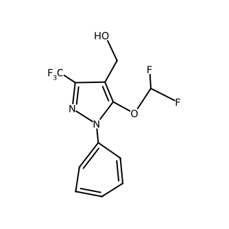 OCc1c(C(F)(F)F)nn(-c2ccccc2)c1OC(F)F